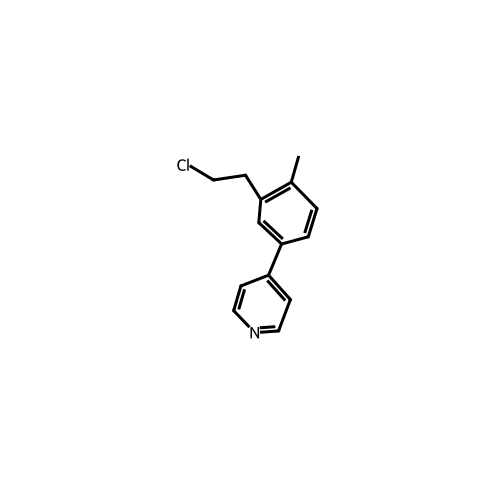 Cc1ccc(-c2ccncc2)cc1CCCl